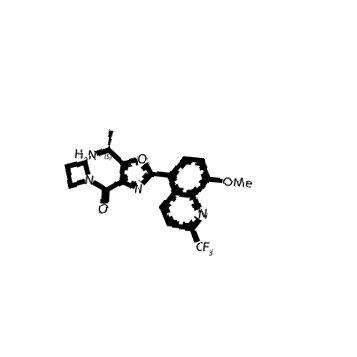 COc1ccc(-c2nc(C(=O)N3CCC3)c([C@H](C)N)o2)c2ccc(C(F)(F)F)nc12